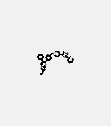 CCc1nc2nc(-c3ccc(CN4CCC(c5n[nH]c(-c6ccccn6)n5)CC4)cc3)c(-c3ccccc3)cn2n1